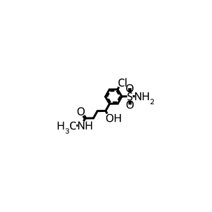 CNC(=O)CCC(O)c1ccc(Cl)c(S(N)(=O)=O)c1